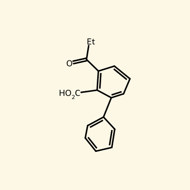 CCC(=O)c1cccc(-c2ccccc2)c1C(=O)O